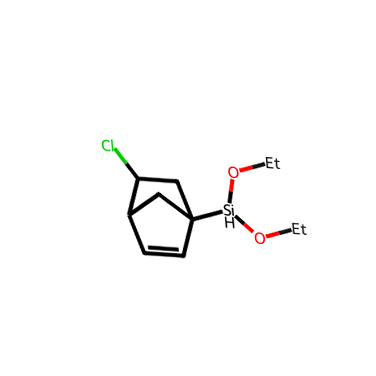 CCO[SiH](OCC)C12C=CC(C1)C(Cl)C2